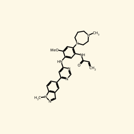 C=CC(=O)Nc1cc(Nc2cc(-c3ccc4c(cnn4C)c3)ncn2)c(OC)cc1N1CCCN(C)CC1